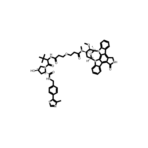 CO[C@@H]1[C@H](N(C)C(=O)CCOCCC(=O)NC(C(=O)N2C[C@H](O)C[C@H]2C(=O)NCc2ccc(-c3scnc3C)cc2)C(C)(C)C)C[C@H]2O[C@]1(C)n1c3ccccc3c3c4c(c5c6ccccc6n2c5c31)C(=O)NC4